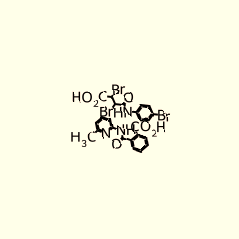 Cc1cccc(NC(=O)c2ccccc2C(=O)O)n1.O=C(O)C(Br)C(Br)C(=O)Nc1ccc(Br)cc1